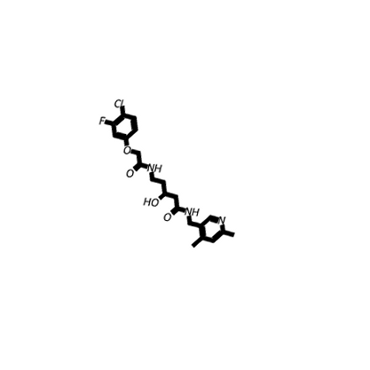 Cc1cc(C)c(CNC(=O)CC(O)CCNC(=O)COc2ccc(Cl)c(F)c2)cn1